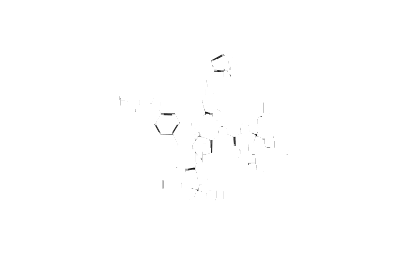 COc1ccc(C[C@@H]2[C@H](OC(=O)COCc3ccon3)[C@@H](OC(=O)OC(C)(C)C)CN2C(=O)OC(C)(C)C)cc1